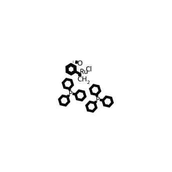 C1CCC(P(C2CCCCC2)C2CCCCC2)CC1.C1CCC(P(C2CCCCC2)C2CCCCC2)CC1.C=[C]([Ru][Cl])c1ccccc1.[C]=O